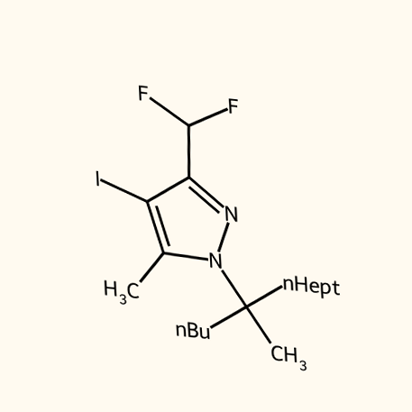 CCCCCCCC(C)(CCCC)n1nc(C(F)F)c(I)c1C